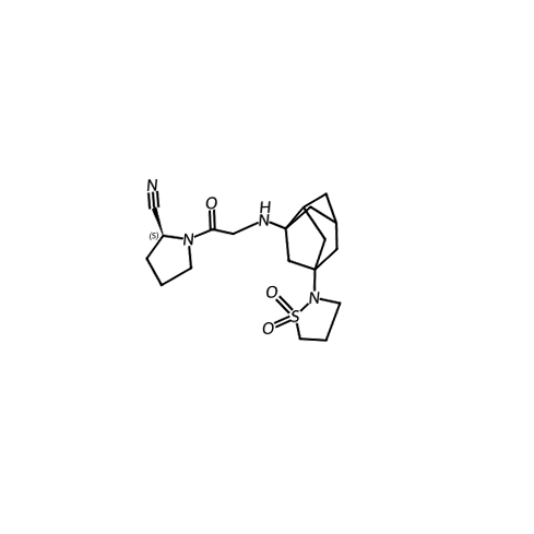 N#C[C@@H]1CCCN1C(=O)CNC12CC3CC1CC(N1CCCS1(=O)=O)(C3)C2